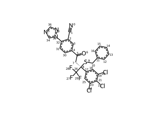 N#Cc1cc(C(=O)C[C@](SCc2ccccc2)(c2cc(Cl)c(Cl)c(Cl)c2)C(F)(F)F)ccc1-n1cncn1